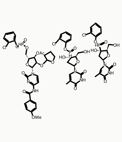 COc1ccc(C(=O)Nc2ccn([C@@H]3O[C@H](CO[PH](=O)Oc4ccccc4Cl)[C@@H](OC(C)=O)[C@H]3OC3CCCO3)c(=O)n2)cc1.Cc1cn([C@H]2C[C@@](O)([PH](=O)Oc3ccccc3Cl)[C@@H](CO)O2)c(=O)[nH]c1=O.Cc1cn([C@H]2C[C@@](O)([PH](=O)Oc3ccccc3Cl)[C@@H](CO)O2)c(=O)[nH]c1=O